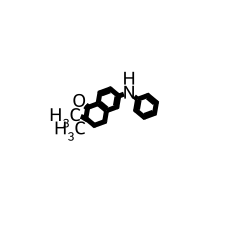 CC1(C)CCc2cc(Nc3ccccc3)ccc2C1=O